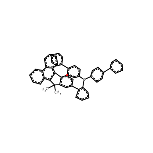 CC1(C)c2cc(-c3ccccc3N(c3ccc(-c4ccccc4)cc3)c3ccc(-c4ccccc4)cc3)ccc2-c2c1c1ccccc1c1ccccc21